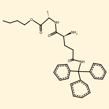 CCCCOC(=O)[C@H](C)NC(=O)[C@@H](N)CCC(=O)NC(c1ccccc1)(c1ccccc1)c1ccccc1